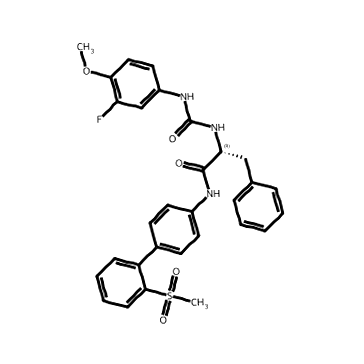 COc1ccc(NC(=O)N[C@H](Cc2ccccc2)C(=O)Nc2ccc(-c3ccccc3S(C)(=O)=O)cc2)cc1F